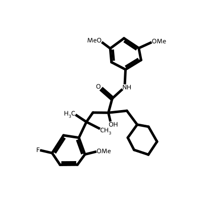 COc1cc(NC(=O)C(O)(CC2CCCCC2)CC(C)(C)c2cc(F)ccc2OC)cc(OC)c1